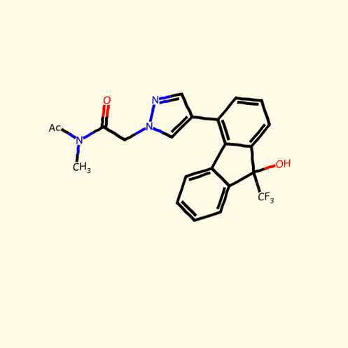 CC(=O)N(C)C(=O)Cn1cc(-c2cccc3c2-c2ccccc2C3(O)C(F)(F)F)cn1